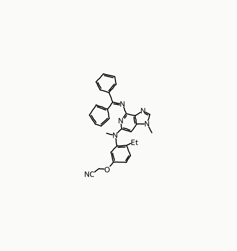 CCc1ccc(OCC#N)cc1N(C)c1cc2c(ncn2C)c(N=C(c2ccccc2)c2ccccc2)n1